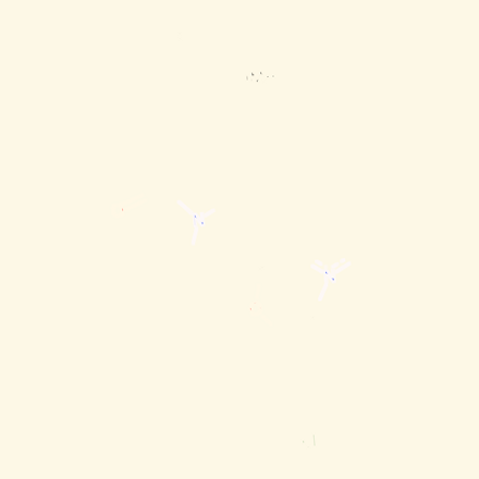 COc1cc(C(=O)N2CCC3(CC2)Oc2cc(Cl)ccc2-n2cccc23)ccc1C(F)(F)F